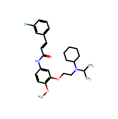 COc1ccc(NC(=O)/C=C/c2cccc(Cl)c2)cc1OCCN(C(C)C)C1CCCCC1